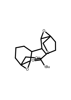 CC(C)(C)C(=O)OCC12CCCC(C3CCCC4(CO)OC34)C1O2